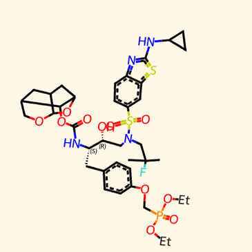 CCOP(=O)(COc1ccc(C[C@H](NC(=O)OC2C3COC4OC2CC4C3)[C@H](O)CN(CC(C)(C)F)S(=O)(=O)c2ccc3nc(NC4CC4)sc3c2)cc1)OCC